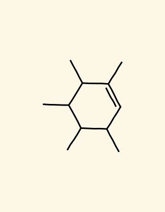 CC1=CC(C)C(C)C(C)C1C